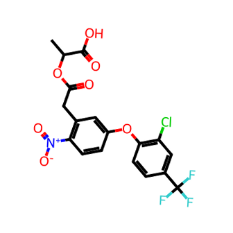 CC(OC(=O)Cc1cc(Oc2ccc(C(F)(F)F)cc2Cl)ccc1[N+](=O)[O-])C(=O)O